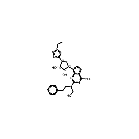 CCn1nnc([C@H]2O[C@@H](n3cnc4c(N)nc(N(CO)CCc5ccccc5)nc43)[C@H](O)[C@@H]2O)n1